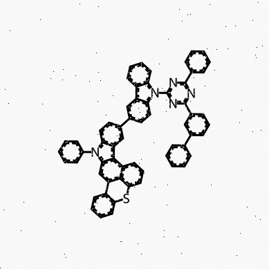 c1ccc(-c2cccc(-c3nc(-c4ccccc4)nc(-n4c5ccccc5c5cc(-c6ccc7c(c6)c6c8cccc9c8c(cc6n7-c6ccccc6)-c6ccccc6S9)ccc54)n3)c2)cc1